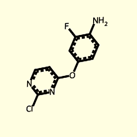 Nc1ccc(Oc2ccnc(Cl)n2)cc1F